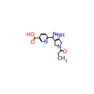 CCC(=O)N1Cc2[nH]nc(-c3ccc(C(=O)O)cn3)c2C1